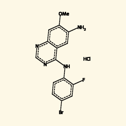 COc1cc2ncnc(Nc3ccc(Br)cc3F)c2cc1N.Cl